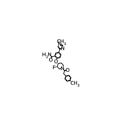 Cc1ccc(CC(=O)N2CC[C@@H](Oc3ccc(-c4cn(C)cn4)cc3C(N)=O)[C@H](F)C2)cc1